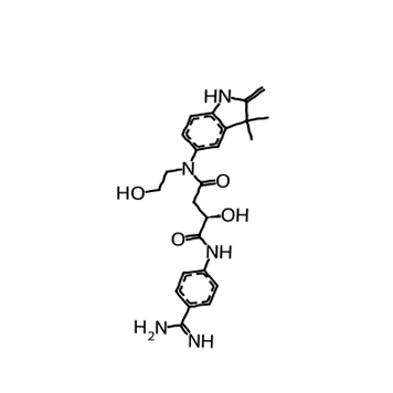 C=C1Nc2ccc(N(CCO)C(=O)C[C@@H](O)C(=O)Nc3ccc(C(=N)N)cc3)cc2C1(C)C